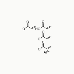 C=CC(=O)O.C=CC(=O)[O-].C=CC(=O)[O-].C=CC(=O)[O-].[Al+3]